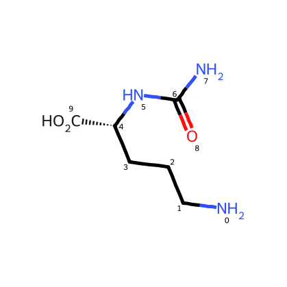 NCCC[C@@H](NC(N)=O)C(=O)O